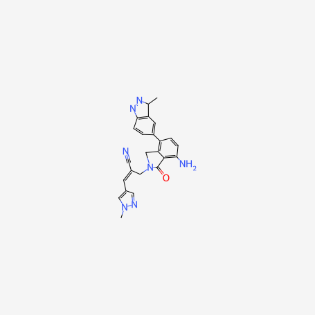 CC1N=Nc2ccc(-c3ccc(N)c4c3CN(C/C(C#N)=C\c3cnn(C)c3)C4=O)cc21